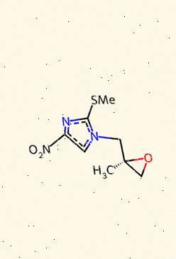 CSc1nc([N+](=O)[O-])cn1C[C@]1(C)CO1